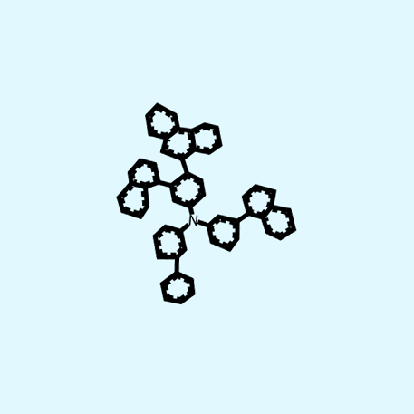 c1ccc(-c2cccc(N(c3cccc(-c4cccc5ccccc45)c3)c3ccc(-c4cc5ccccc5c5ccccc45)c(-c4cccc5ccccc45)c3)c2)cc1